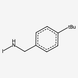 CC(C)(C)c1ccc(CNI)cc1